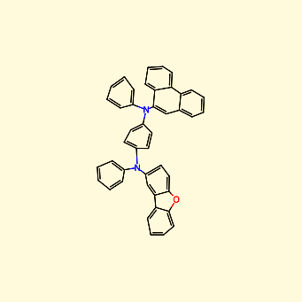 c1ccc(N(c2ccc(N(c3ccccc3)c3cc4ccccc4c4ccccc34)cc2)c2ccc3oc4ccccc4c3c2)cc1